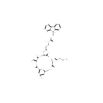 C/C=C1\NC(=O)c2cc(SC)cc(n2)CNC(=O)C[C@@H](/C=C/CCSC(C)=O)OC(=O)[C@H](CCCCNC(=O)OCC2c3ccccc3-c3ccccc32)NC1=O